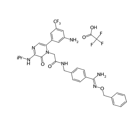 CC(C)Nc1ncc(-c2cc(N)cc(C(F)(F)F)c2)n(CC(=O)NCc2ccc(/C(N)=N/OCc3ccccc3)cc2)c1=O.O=C(O)C(F)(F)F